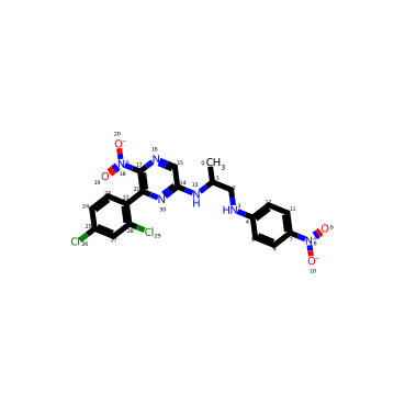 CC(CNc1ccc([N+](=O)[O-])cc1)Nc1cnc([N+](=O)[O-])c(-c2ccc(Cl)cc2Cl)n1